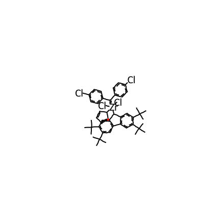 CC(C)(C)c1cc2c(cc1C(C)(C)C)[CH]([Zr]([Cl])([Cl])(=[C](c1ccc(Cl)cc1)c1ccc(Cl)cc1)[CH]1C=CC=C1)c1cc(C(C)(C)C)c(C(C)(C)C)cc1-2